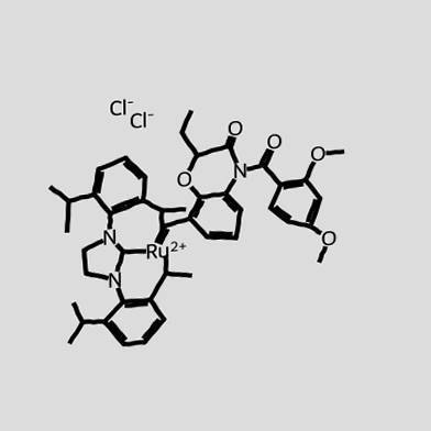 CCC1Oc2c(/[CH]=[Ru+2]/[CH]3N(c4c(C(C)C)cccc4C(C)C)CCN3c3c(C(C)C)cccc3C(C)C)cccc2N(C(=O)c2ccc(OC)cc2OC)C1=O.[Cl-].[Cl-]